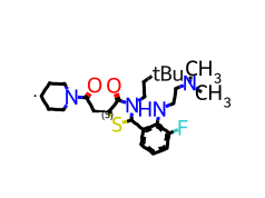 CN(C)CCNc1c(F)cccc1C1S[C@@H](CC(=O)N2CC[CH]CC2)C(=O)N1CCC(C)(C)C